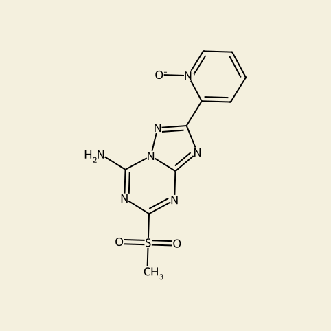 CS(=O)(=O)c1nc(N)n2nc(-c3cccc[n+]3[O-])nc2n1